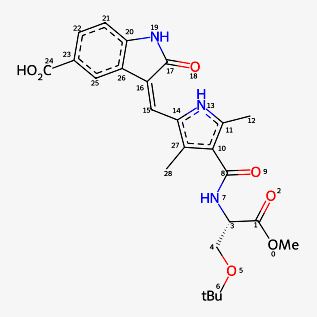 COC(=O)[C@H](COC(C)(C)C)NC(=O)c1c(C)[nH]c(/C=C2\C(=O)Nc3ccc(C(=O)O)cc32)c1C